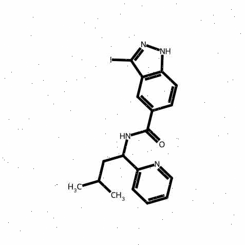 CC(C)CC(NC(=O)c1ccc2[nH]nc(I)c2c1)c1ccccn1